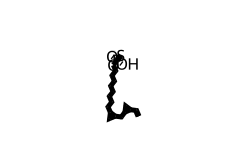 C=CC1CC1CC1CC1CCCCCCCCOP(O)(=S)OC